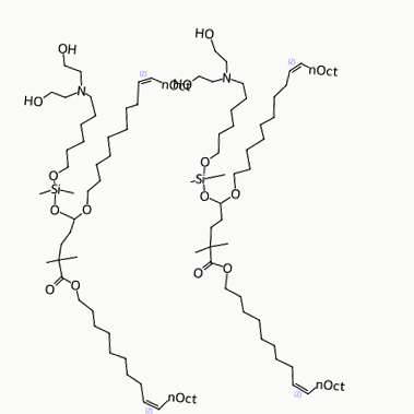 CCCCCCCC/C=C\CCCCCCCCOC(=O)C(C)(C)CCC(OCCCCCCCC/C=C\CCCCCCCC)O[Si](C)(C)OCCCCCCN(CCO)CCO.CCCCCCCC/C=C\CCCCCCCCOC(=O)C(C)(C)CCC(OCCCCCCCC/C=C\CCCCCCCC)O[Si](C)(C)OCCCCCCN(CCO)CCO